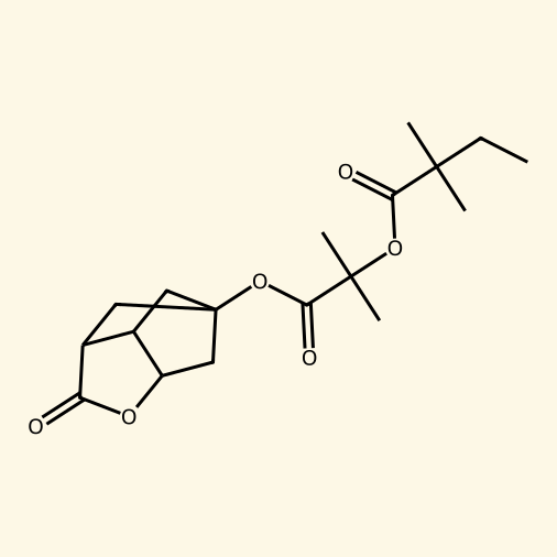 CCC(C)(C)C(=O)OC(C)(C)C(=O)OC12CC3OC(=O)C(C1)C3C2